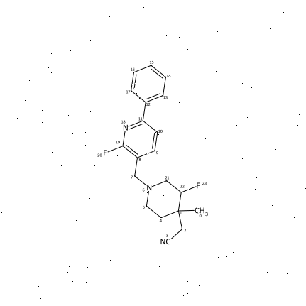 CC1(CC#N)CCN(Cc2ccc(-c3ccccc3)nc2F)CC1F